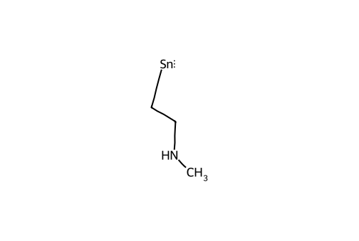 CNC[CH2][Sn]